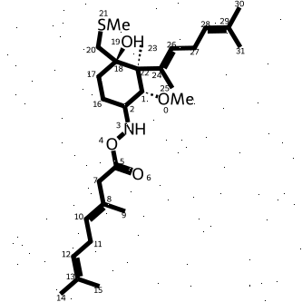 CO[C@@H]1C(NOC(=O)C/C(C)=C/CC=C(C)C)CC[C@](O)(CSC)[C@@]1(C)/C(C)=C/CC=C(C)C